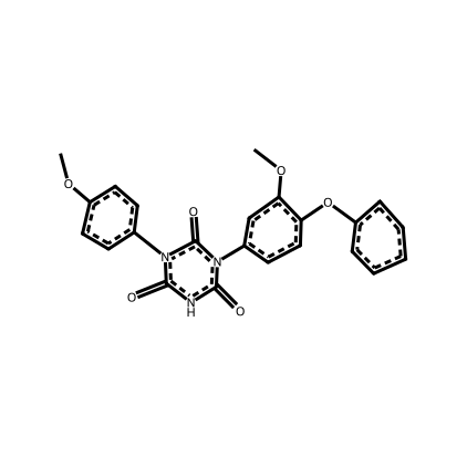 COc1ccc(-n2c(=O)[nH]c(=O)n(-c3ccc(Oc4ccccc4)c(OC)c3)c2=O)cc1